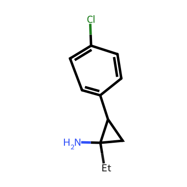 CCC1(N)CC1c1ccc(Cl)cc1